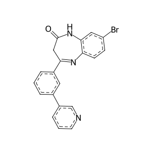 O=C1CC(c2cccc(-c3cccnc3)c2)=Nc2ccc(Br)cc2N1